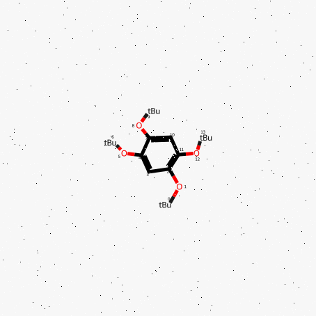 CC(C)(C)Oc1cc(OC(C)(C)C)c(OC(C)(C)C)cc1OC(C)(C)C